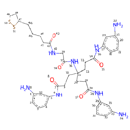 Nc1cccc(NC(=O)CCC(CCC(=O)Nc2cccc(N)c2)(CCC(=O)Nc2cccc(N)c2)NC(=O)CNC(=O)CCCCC2CCSS2)c1